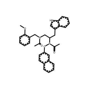 COc1ccccc1CN(CC(Cc1c[nH]c2ccccc12)N(Oc1ccc2ccccc2c1)C(C)=O)C(C)=O